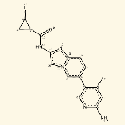 Cc1cc(N)ncc1-c1ccc2nc(NC(=O)C3CC3F)cn2c1